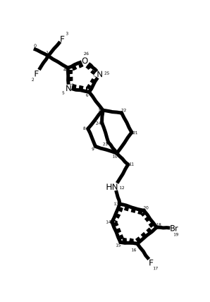 CC(F)(F)c1nc(C23CCC(CNc4ccc(F)c(Br)c4)(CC2)CC3)no1